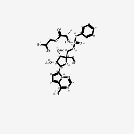 CCC(CC)COC(=O)[C@H](C)N[P@](=O)(OC[C@@]1(CF)O[C@@H](c2ccc3c(N)ncnn23)[C@H](OC(C)=O)[C@@H]1OC(C)=O)Oc1ccccc1